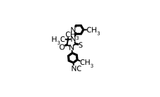 [C-]#[N+]c1ccc(N2C(=O)C(C)(C)N(c3cc(C)ccn3)C2=S)cc1C